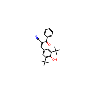 CC(C)(C)c1cc(C=C(C#N)C(=O)c2ccccc2)cc(C(C)(C)C)c1O